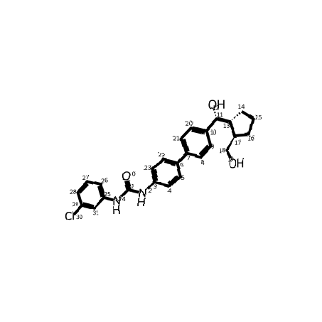 O=C(Nc1ccc(-c2ccc([C@H](O)[C@@H]3CCC[C@H]3CO)cc2)cc1)Nc1cccc(Cl)c1